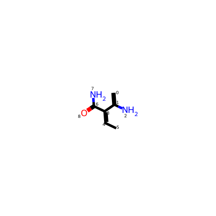 C=C(N)/C(=C\C)C(N)=O